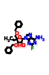 C=CC1(COCc2ccccc2)OC(n2cnc3c(N)nc(F)nc32)C(O)C1OCc1ccccc1